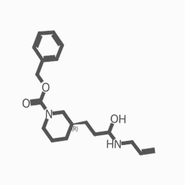 C=CCNC(O)CC[C@H]1CCCN(C(=O)OCc2ccccc2)C1